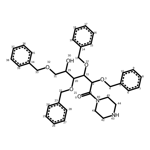 O=C(C(OCc1ccccc1)C(OCc1ccccc1)C(OCc1ccccc1)C(O)COCc1ccccc1)N1CCNCC1